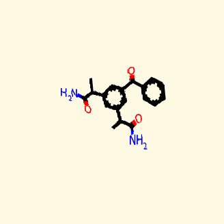 CC(C(N)=O)c1cc(C(=O)c2ccccc2)cc(C(C)C(N)=O)c1